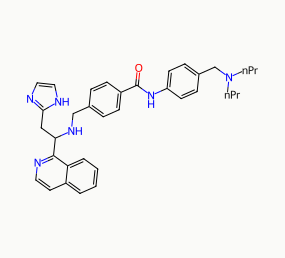 CCCN(CCC)Cc1ccc(NC(=O)c2ccc(CNC(Cc3ncc[nH]3)c3nccc4ccccc34)cc2)cc1